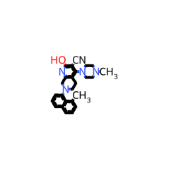 Cc1cccc2cccc(N3CCc4c(nc(O)c(C#N)c4N4CCN(C)CC4)C3)c12